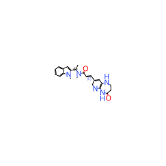 C[C@H](c1cc2ccccc2n1C)N(C)C(=O)/C=C/c1cnc2c(c1)NCCC(=O)N2